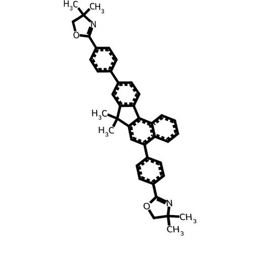 CC1(C)COC(c2ccc(-c3ccc4c(c3)C(C)(C)c3cc(-c5ccc(C6=NC(C)(C)CO6)cc5)c5ccccc5c3-4)cc2)=N1